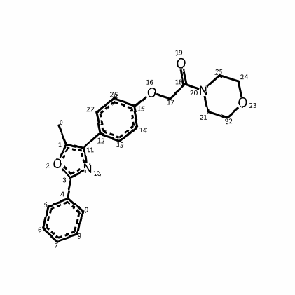 Cc1oc(-c2ccccc2)nc1-c1ccc(OCC(=O)N2CCOCC2)cc1